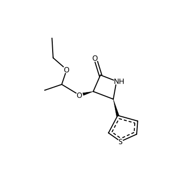 CCOC(C)O[C@H]1C(=O)N[C@H]1c1ccsc1